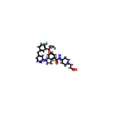 CC(=O)c1cc(Cc2ccnc(N3CCc4c(C(=O)NC5CCN(CCO)CC5)cccc43)c2)ccc1F